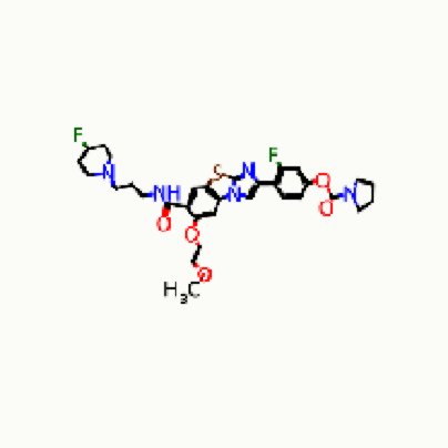 COCCOc1cc2c(cc1C(=O)NCCCN1CCC(F)CC1)sc1nc(-c3ccc(OC(=O)N4CCCC4)cc3F)cn12